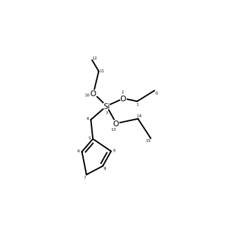 CCO[Si](CC1=CCC=C1)(OCC)OCC